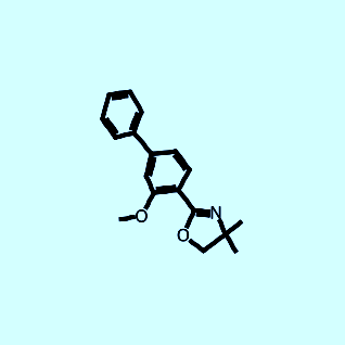 COc1cc(-c2ccccc2)ccc1C1=NC(C)(C)CO1